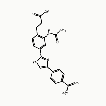 CC(=O)Nc1cc(-c2nc(-c3ccc(C(=N)N)cc3)c[nH]2)ccc1CCC(=O)O